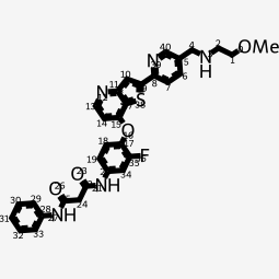 COCCNCc1ccc(-c2cc3nccc(Oc4ccc(NC(=O)CC(=O)Nc5ccccc5)cc4F)c3s2)nc1